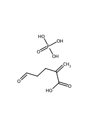 C=C(CCC=O)C(=O)O.O=P(O)(O)O